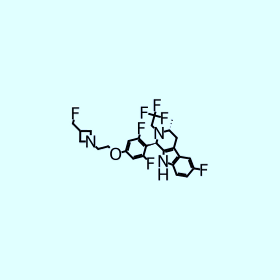 C[C@@H]1Cc2c([nH]c3ccc(F)cc23)[C@@H](c2c(F)cc(OCCN3CC(CF)C3)cc2F)N1CC(F)(F)F